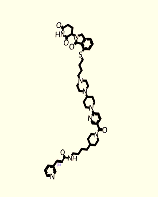 O=C(/C=C/c1cccnc1)NCCCCC1CCN(C(=O)c2ccc(N3CCC(N4CCN(CCCCSc5cccc6c5C(=O)N(C5CCC(=O)NC5=O)C6)CC4)CC3)nc2)CC1